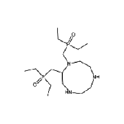 CCP(=O)(CC)CC1CNCCNCCN1CP(=O)(CC)CC